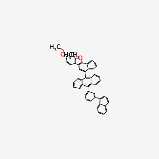 CCOC(C)/C=C\c1c(C)oc2c1cc(-c1c3ccccc3c(-c3cccc(-c4cccc5ccccc45)c3)c3ccccc13)c1ccccc12